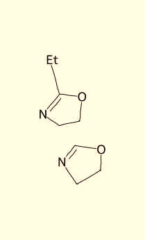 C1=NCCO1.CCC1=NCCO1